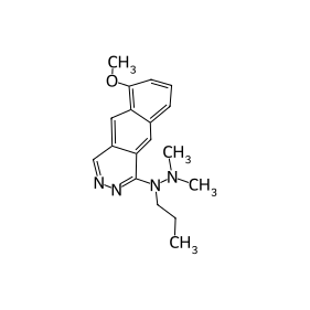 CCCN(c1nncc2cc3c(OC)cccc3cc12)N(C)C